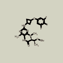 Cc1nc(NC2CC(Oc3cc(F)c(F)c(F)c3)C2)nc2c1NC(=O)[C@H]([C@H](C)OC(C)(C)C)N2C